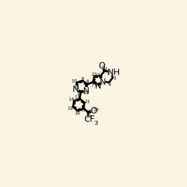 O=C1NCCn2nc(-c3ccnc(-c4cccc(C(=O)C(F)(F)F)c4)n3)cc21